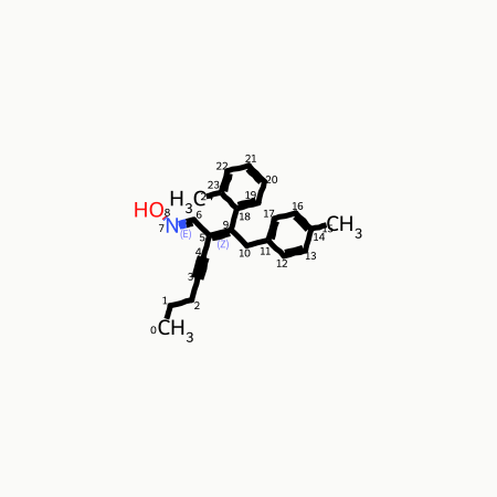 CCCC#CC(/C=N/O)=C(\Cc1ccc(C)cc1)c1ccccc1C